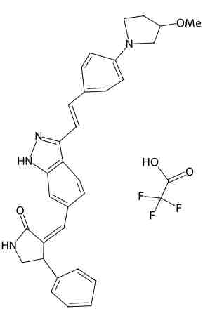 COC1CCN(c2ccc(C=Cc3n[nH]c4cc(C=C5C(=O)NCC5c5ccccc5)ccc34)cc2)C1.O=C(O)C(F)(F)F